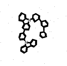 C1=CCC(c2cccc(C3=CCCC(n4c5ccccc5c5cc(-c6cccc(-n7c8ccccc8c8ccccc87)c6)ccc54)=C3)c2)C=C1